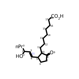 CCCC(O)/C=C/C1CCC(=O)C1CCCCCCCC(=O)O